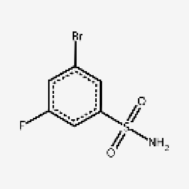 NS(=O)(=O)c1cc(F)cc(Br)c1